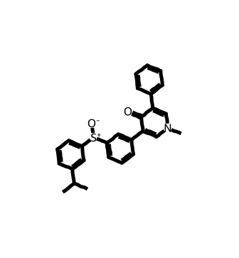 CC(C)c1cccc([S+]([O-])c2cccc(-c3cn(C)cc(-c4ccccc4)c3=O)c2)c1